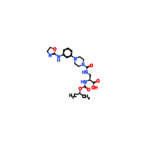 CC(C)OC(=O)N[C@@H](CNC(=O)N1CCN(c2cccc(NC3=NCCO3)c2)CC1)C(=O)O